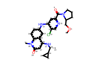 COCC1CCCN1C(=O)c1cc(Nc2ccc3c(c2)c(N[C@H](C)C2CC2)cc(=O)n3C)c(Cl)cn1